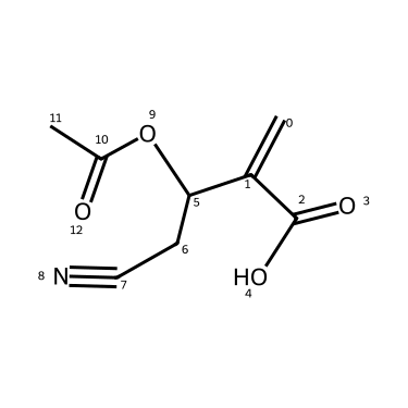 C=C(C(=O)O)C(CC#N)OC(C)=O